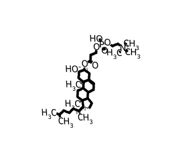 CC(C)CCC[C@@H](C)[C@H]1CCC2C3CC=C4C[C@@H](OC(=O)CCOP(=O)(O)OCC[N+](C)(C)C)CC[C@]4(C)C3CC[C@@]21C.[OH-]